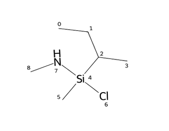 CCC(C)[Si](C)(Cl)NC